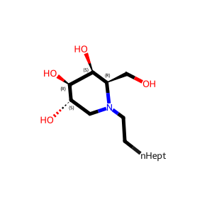 CCCCCCCCCN1C[C@H](O)[C@@H](O)[C@@H](O)[C@H]1CO